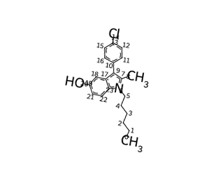 CCCCCCn1c(C)c(-c2ccc(Cl)cc2)c2cc(O)ccc21